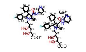 CC(C)c1c(C(=O)Nc2cccnc2)c(-c2ccccc2)c(-c2ccc(F)cc2)n1CC[C@@H](O)C[C@@H](O)CC(=O)[O-].CC(C)c1c(C(=O)Nc2cccnc2)c(-c2ccccc2)c(-c2ccc(F)cc2)n1CC[C@@H](O)C[C@@H](O)CC(=O)[O-].[Ca+2]